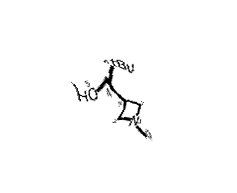 CN1CC(C(O)C(C)(C)C)C1